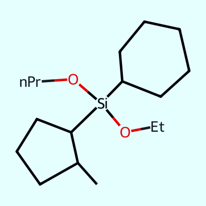 CCCO[Si](OCC)(C1CCCCC1)C1CCCC1C